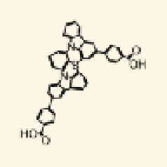 O=C(O)c1ccc(-c2ccc3c(c2)c2cccc4c2n3-c2cccc3c2B4c2cc(-c4ccc(C(=O)O)cc4)cc4c5ccccc5n-3c24)cc1